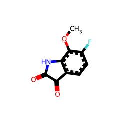 COc1c(F)ccc2c1NC(=O)C2=O